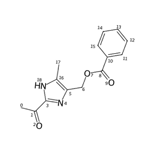 CC(=O)c1nc(COC(=O)c2ccccc2)c(C)[nH]1